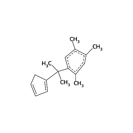 Cc1cc(C)c(C(C)(C)C2=CC=CC2)cc1C